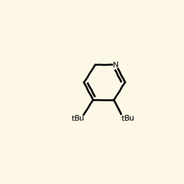 CC(C)(C)C1=CCN=CC1C(C)(C)C